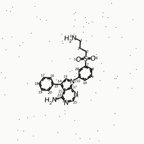 NCCCS(=O)(=O)c1cccc(-n2cc(-c3ccccc3)c3c(N)ncnc32)c1